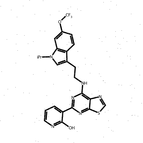 CC(C)n1cc(CCNc2nc(-c3cccnc3O)nc3scnc23)c2ccc(OC(F)(F)F)cc21